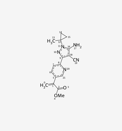 C=C(C(=O)OC)c1ccc(-c2nn(C3(C)CC3)c(N)c2C#N)nc1